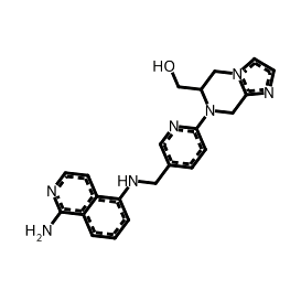 Nc1nccc2c(NCc3ccc(N4Cc5nccn5CC4CO)nc3)cccc12